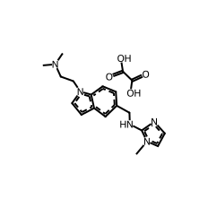 CN(C)CCn1ccc2cc(CNc3nccn3C)ccc21.O=C(O)C(=O)O